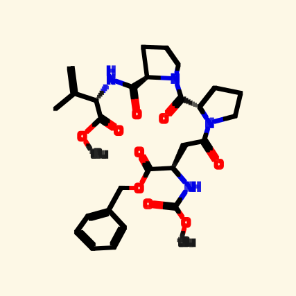 C=C(C)[C@H](NC(=O)[C@H]1CCCN1C(=O)[C@@H]1CCCN1C(=O)C[C@@H](NC(=O)OC(C)(C)C)C(=O)OCc1ccccc1)C(=O)OC(C)(C)C